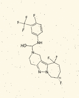 OC(Nc1ccc(F)c(C(F)(F)F)c1)N1CCc2nn3c(c2C1)C(F)(F)CC[C@H](F)C3